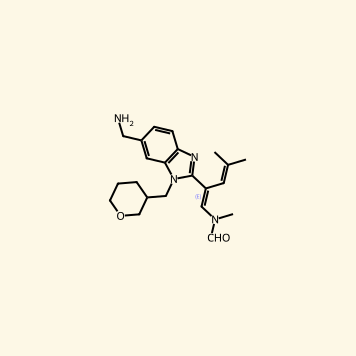 CC(C)=C/C(=C\N(C)C=O)c1nc2ccc(CN)cc2n1CC1CCCOC1